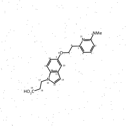 CNc1cccc(CCOc2ccc3c(ccn3CCC(=O)O)c2)n1